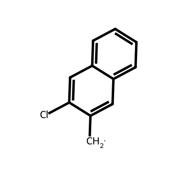 [CH2]c1cc2ccccc2cc1Cl